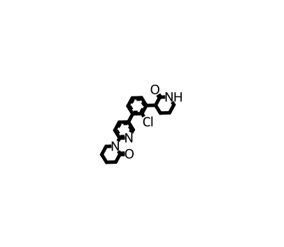 O=C1NCCCC1c1cccc(-c2ccc(N3CCCCC3=O)nc2)c1Cl